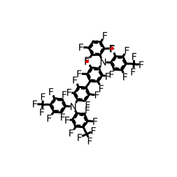 Fc1cc(F)c(F)c(N(c2c(F)c(F)c(-c3c(F)c(F)c(N(c4c(F)c(F)c(C(F)(F)F)c(F)c4F)c4c(F)c(F)c(C(F)(F)F)c(F)c4F)c(F)c3F)c(F)c2F)c2c(F)c(F)c(C(F)(F)F)c(F)c2F)c1F